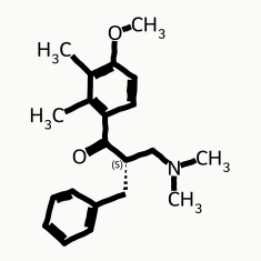 COc1ccc(C(=O)[C@@H](Cc2ccccc2)CN(C)C)c(C)c1C